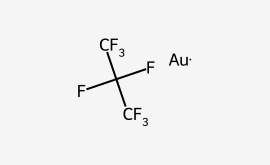 FC(F)(F)C(F)(F)C(F)(F)F.[Au]